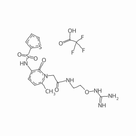 Cc1ccc(NS(=O)(=O)c2cccs2)c(=O)n1CC(=O)NCCONC(=N)N.O=C(O)C(F)(F)F